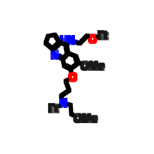 CCOCCNc1c2c(nc3cc(OCCCN(CC)CCOC)c(OC)cc13)CCC2